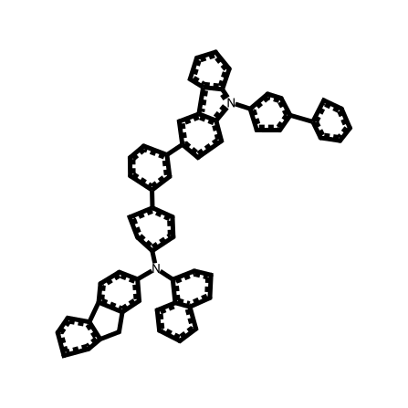 c1ccc(-c2ccc(-n3c4ccccc4c4cc(-c5cccc(-c6ccc(N(c7ccc8c(c7)Cc7ccccc7-8)c7cccc8ccccc78)cc6)c5)ccc43)cc2)cc1